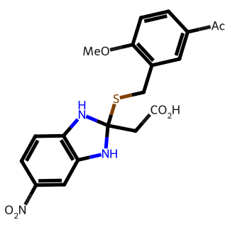 COc1ccc(C(C)=O)cc1CSC1(CC(=O)O)Nc2ccc([N+](=O)[O-])cc2N1